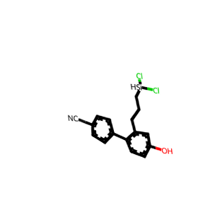 N#Cc1ccc(-c2ccc(O)cc2CCC[SiH](Cl)Cl)cc1